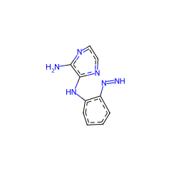 N=Nc1ccccc1Nc1nccnc1N